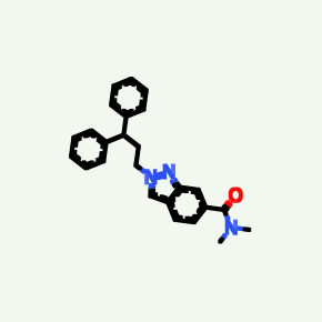 CN(C)C(=O)c1ccc2cn(CCC(c3ccccc3)c3ccccc3)nc2c1